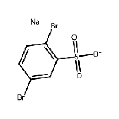 O=S(=O)([O-])c1cc(Br)ccc1Br.[Na+]